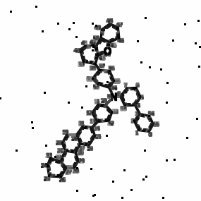 c1ccc(-c2cccc(N(c3ccc(-c4ccc5c(ccc6c7ccccc7ccc56)c4)cc3)c3ccc(-c4cccc5c4oc4ccccc45)cc3)c2)cc1